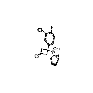 O=C1CC(c2ccc(F)c(Cl)c2)([C@H](O)c2ccccn2)C1